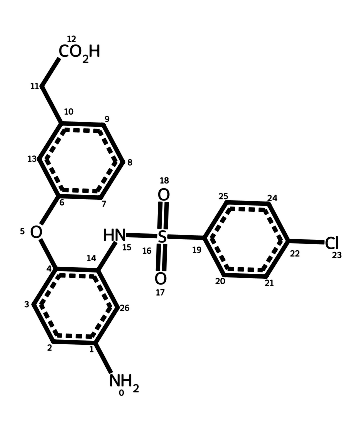 Nc1ccc(Oc2cccc(CC(=O)O)c2)c(NS(=O)(=O)c2ccc(Cl)cc2)c1